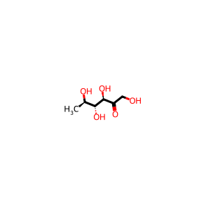 C[C@@H](O)[C@@H](O)[C@@H](O)C(=O)CO